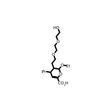 CCOC1OC(C(=O)O)=CC(C(C)C)C1CCOCCOCCO